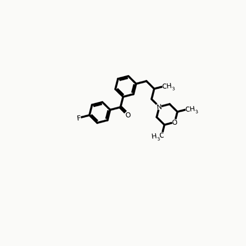 CC(Cc1cccc(C(=O)c2ccc(F)cc2)c1)CN1CC(C)OC(C)C1